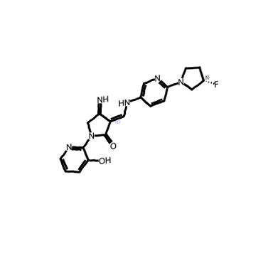 N=C1CN(c2ncccc2O)C(=O)/C1=C/Nc1ccc(N2CC[C@H](F)C2)nc1